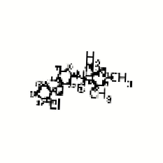 Cc1cc(C)c(C(=O)Nc2cccc(Oc3ccccc3Cl)c2)c(N)n1